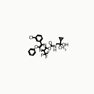 CC(O)(CNC(=O)Oc1nc(-c2cccc(Cl)c2)c(Oc2ccccc2)nc1C(F)(F)F)C1CC1